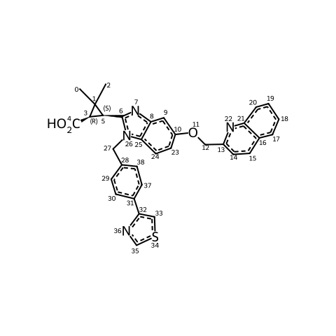 CC1(C)[C@H](C(=O)O)[C@@H]1c1nc2cc(OCc3ccc4ccccc4n3)ccc2n1Cc1ccc(-c2cscn2)cc1